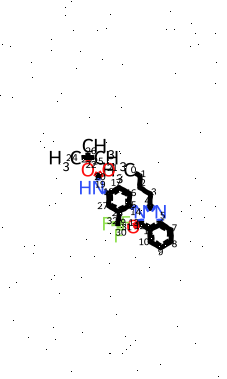 CCCCc1nc2ccccc2c(=O)n1-c1ccc(NC(=O)OC(C)(C)C)cc1C(F)(F)F